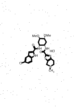 CO[C@@H]1C[C@H](NC(=O)c2nc3c(s2)CN(C)CC3)[C@H](NC(=O)c2cc3cc(Cl)ccc3[nH]2)C[C@H]1OC.Cl